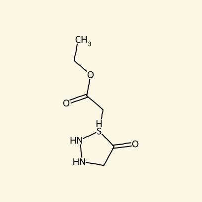 CCOC(=O)C[SH]1NNCC1=O